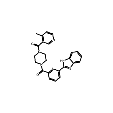 Cc1ccncc1C(=O)N1CCN(C(=O)c2cccc(-c3nc4ccccc4[nH]3)n2)CC1